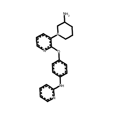 NC1CCCN(c2cccnc2Oc2ccc(Nc3ccccn3)cc2)C1